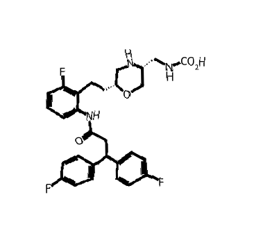 O=C(O)NC[C@@H]1CO[C@H](CCc2c(F)cccc2NC(=O)CC(c2ccc(F)cc2)c2ccc(F)cc2)CN1